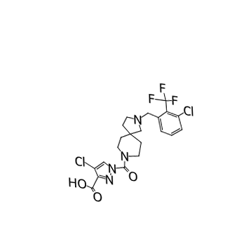 O=C(O)c1nn(C(=O)N2CCC3(CCN(Cc4cccc(Cl)c4C(F)(F)F)C3)CC2)cc1Cl